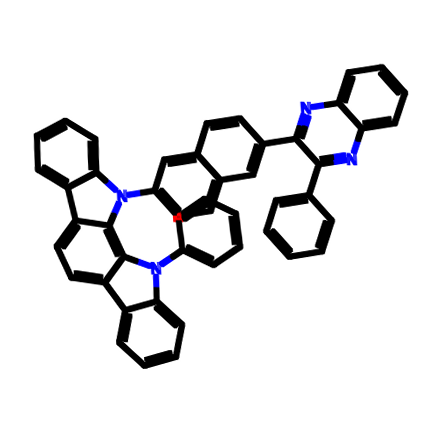 c1ccc(-c2nc3ccccc3nc2-c2ccc3cc(-n4c5ccccc5c5ccc6c7ccccc7n(-c7ccccc7)c6c54)ccc3c2)cc1